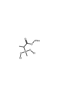 CCCCCCOC(=O)C(C)[Si](C)(OCC)OCC